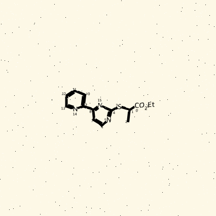 CCOC(=O)C(C)Sc1nccc(-c2ccccn2)n1